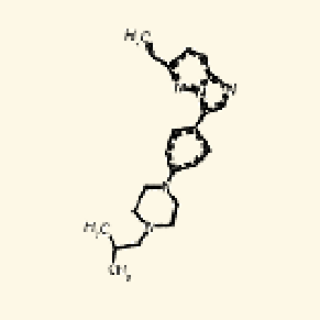 C=Cc1ccc2ncc(-c3ccc(N4CCN(CC(C)C)CC4)cc3)n2n1